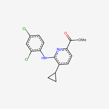 COC(=O)c1ccc(C2CC2)c(Nc2ccc(Cl)cc2Cl)n1